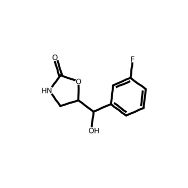 O=C1NCC(C(O)c2cccc(F)c2)O1